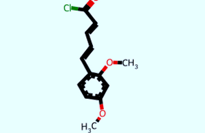 COc1ccc(/C=C/C=C/C(=O)Cl)c(OC)c1